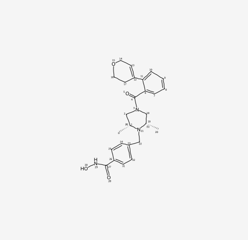 C[C@@H]1CN(C(=O)c2ccccc2C2=CCOCC2)C[C@H](C)N1Cc1ccc(C(=O)NO)cc1